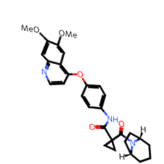 COc1cc2nccc(Oc3ccc(NC(=O)C4(C(=O)N5[C@@H]6CCC[C@H]5CC6)CC4)cc3)c2cc1OC